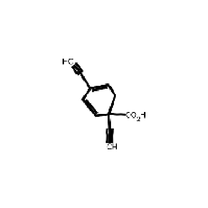 C#CC1=CCC(C#C)(C(=O)O)C=C1